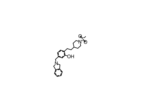 CS(=O)(=O)N1CCC(CCc2ccc(CN3Cc4ccccc4C3)cc2O)CC1